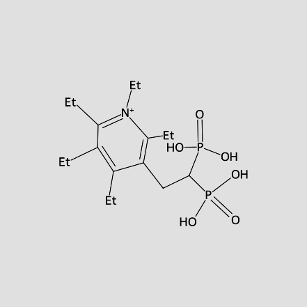 CCc1c(CC)c(CC)[n+](CC)c(CC)c1CC(P(=O)(O)O)P(=O)(O)O